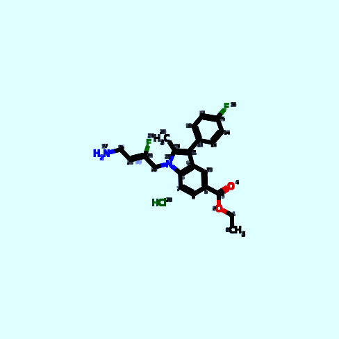 CCOC(=O)c1ccc2c(c1)c(-c1ccc(F)cc1)c(C)n2C/C(F)=C/CN.Cl